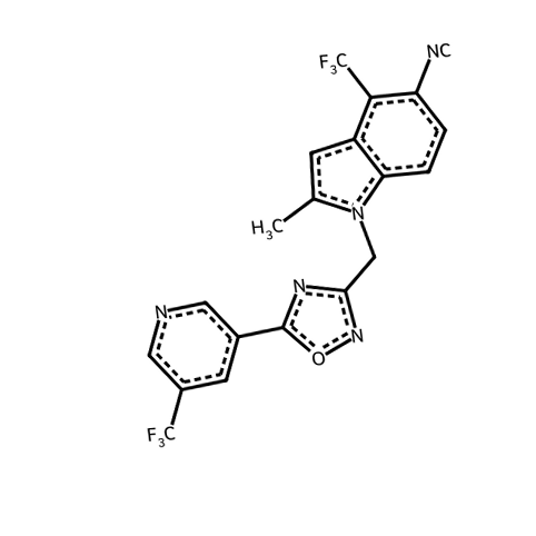 [C-]#[N+]c1ccc2c(cc(C)n2Cc2noc(-c3cncc(C(F)(F)F)c3)n2)c1C(F)(F)F